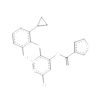 Cc1cccc(C2CC2)c1Oc1nnc(Cl)cc1OC(=O)c1ccoc1